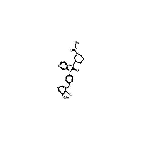 COc1cccc(Oc2ccc(-n3c(=O)n([C@@H]4CCCN(C(=O)OC(C)(C)C)C4)c4ccncc43)cc2)c1Cl